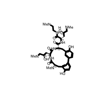 CNCCNC(=O)[C@H](C[C@@H](O)CNC)NC(=O)[C@@H]1Cc2cc(ccc2O)-c2ccc(O)c(c2)C[C@H](NC)C(=O)N[C@@H](C[C@@H](O)CNC)C(=O)N1